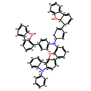 C1=CC(C2=CCC(N(c3ccc(-c4cccc5c4oc4ccccc45)cc3)c3cccc4c3oc3c4ccc4c3c3ccccc3n4-c3ccccc3)C=C2)C2Oc3ccccc3C2=C1